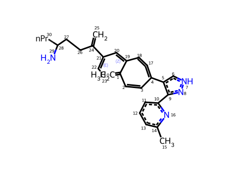 C=C1C=CC(c2c[nH]nc2-c2cccc(C)n2)=C=C/C1=C/C(=C\C)C(=C)CCC(N)CCC